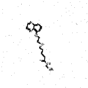 CC(C)(C)CNC(=O)CCCCNCCOc1cccc2nccnc12